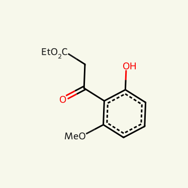 CCOC(=O)CC(=O)c1c(O)cccc1OC